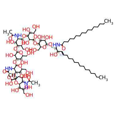 CCCCCCCCCCCCC/C=C/[C@@H](O)[C@H](CO[C@@H]1OC(CO)[C@@H](O[C@@H]2OC(CO)[C@H](O)[C@H](O[C@@H]3OC(CO)[C@@H](O[C@@H]4OC(CO)[C@H](O)[C@H](O[C@@H]5OC(CO)[C@H](O)[C@H](O[C@]6(C(=O)O)CC(O)[C@@H](NC(C)=O)C([C@H](O)[C@H](O)CO)O6)C5NC(C)=O)C4O)[C@H](O)C3NC(C)=O)C2O)[C@H](O)C1O)NC(=O)CCCCCCCCCCCCCCC